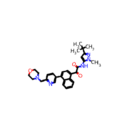 Cn1nc(C(C)(C)C)cc1NC(=O)C(=O)c1ccc(-c2ccc(CN3CCOCC3)nc2)c2ccccc12